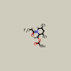 CCC1CC(CC)C([C@H](C)OC(=O)C(C)(C)C)N(C(=O)CC(F)(F)F)C1